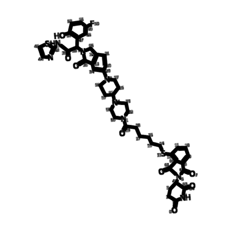 O=C1CCC(N2C(=O)c3cccc(SCCCCCC(=O)N4CCN(C5CCN(c6ccc7c(c6)C(=O)N(C(C(=O)Nc6nccs6)c6cc(F)ccc6O)C7)CC5)CC4)c3C2=O)C(=O)N1